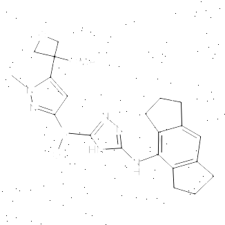 COC1(c2cc([S+]([O-])c3nnc(Nc4c5c(cc6c4CCC6)CCC5)[nH]3)nn2C)COC1